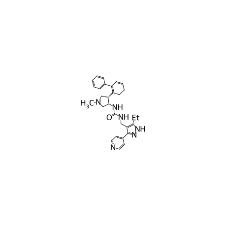 CCc1[nH]nc(-c2ccncc2)c1CNC(=O)NC1CN(C)C[C@H]1C1=C(c2ccccc2)C=CCC1